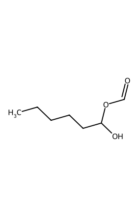 CCCCCC(O)OC=O